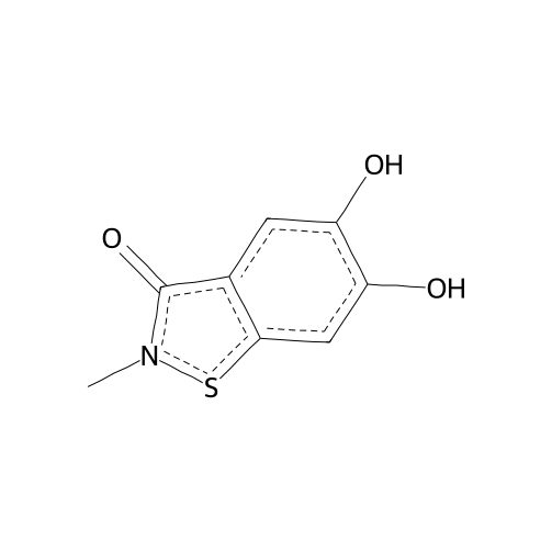 Cn1sc2cc(O)c(O)cc2c1=O